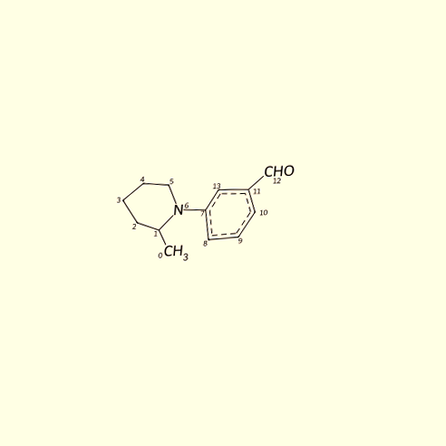 CC1CCCCN1c1cccc(C=O)c1